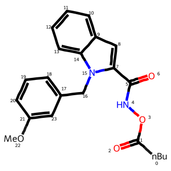 CCCCC(=O)ONC(=O)c1cc2ccccc2n1Cc1cccc(OC)c1